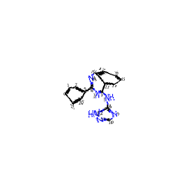 c1ccc(-c2nc(Nc3ncn[nH]3)c3ccccc3n2)cc1